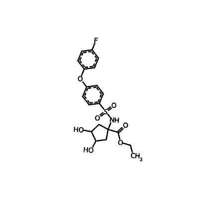 CCOC(=O)C1(NS(=O)(=O)c2ccc(Oc3ccc(F)cc3)cc2)CC(O)C(O)C1